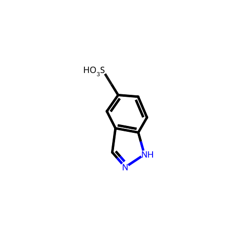 O=S(=O)(O)c1ccc2[nH]ncc2c1